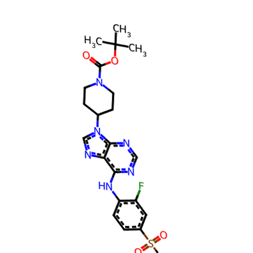 CC(C)(C)OC(=O)N1CCC(n2cnc3c(Nc4ccc(S(C)(=O)=O)cc4F)ncnc32)CC1